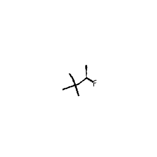 C[C@@H](F)C(C)(C)C